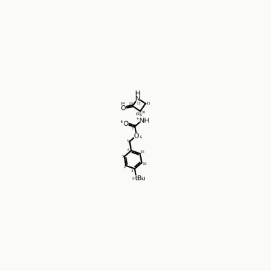 CC(C)(C)c1ccc(COC(=O)N[C@H]2CNC2=O)cc1